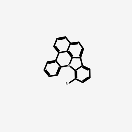 Brc1cccc2c3ccc4cccc5c6ccccc6n(c12)c3c45